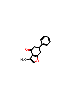 Cc1coc2c1C(=O)CC(c1ccccc1)C2